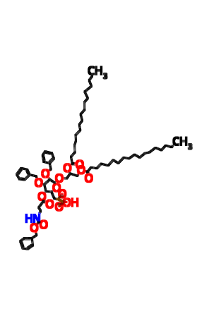 CCCCCCCCCCCCCCCCCC(=O)OCC(COC1OC(CS(=O)(=O)O)C(OC(=O)CCNC(=O)OCc2ccccc2)C(OCc2ccccc2)C1OCc1ccccc1)OC(=O)CCCCCCCCCCCCCCCCC